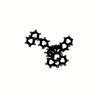 c1ccc2cc(C3N=C(c4ccc(-c5cccc6ccccc56)cc4)N=C(c4cccc5oc6cccc(-c7cccc8ccccc78)c6c45)N3)ccc2c1